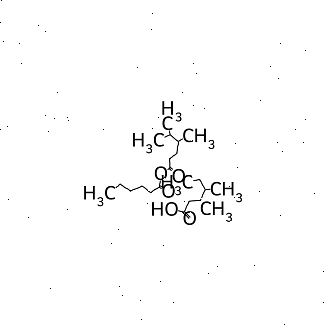 CCC(C)C(C)CC(=O)O.CCCCCC(=O)OC(=O)CCC(C)C(C)C